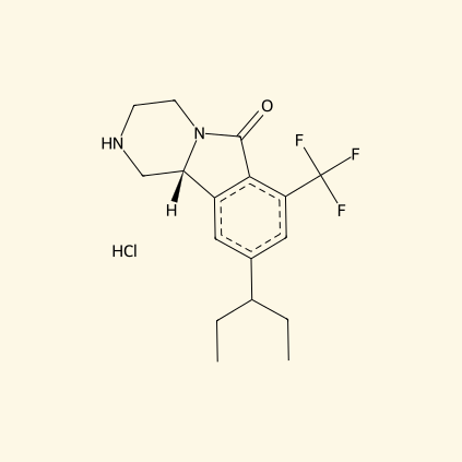 CCC(CC)c1cc2c(c(C(F)(F)F)c1)C(=O)N1CCNC[C@@H]21.Cl